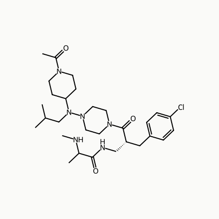 CNC(C)C(=O)NC[C@@H](Cc1ccc(Cl)cc1)C(=O)N1CCN(N(CC(C)C)C2CCN(C(C)=O)CC2)CC1